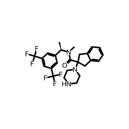 C[C@H](c1cc(C(F)(F)F)cc(C(F)(F)F)c1)N(C)C(=O)C1(N2CCNCC2)Cc2ccccc2C1